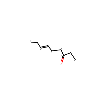 CCC=CCCC(=O)CC